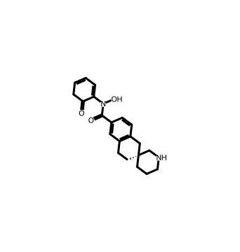 O=C1CC=CC=C1N(O)C(=O)c1ccc2c(c1)CC[C@]1(CCCNC1)C2